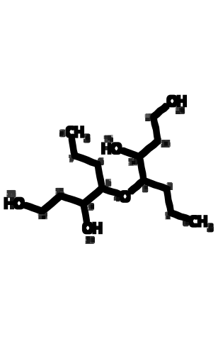 CCCC(OC(CCC)C(O)CCO)C(O)CCO